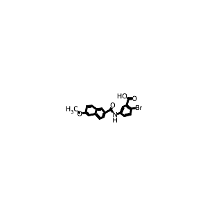 COc1ccc2cc(C(=O)Nc3ccc(Br)c(C(=O)O)c3)ccc2c1